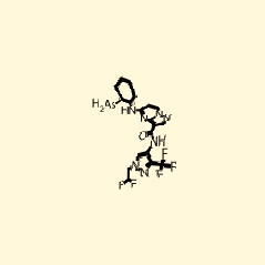 O=C(Nc1cn(CC(F)F)nc1C(F)(F)F)c1cnn2ccc(N[C@@H]3CCCC[C@@H]3[AsH2])nc12